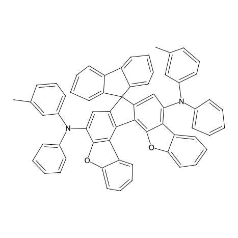 Cc1cccc(N(c2ccccc2)c2cc3c(c4c2oc2ccccc24)-c2c(cc(N(c4ccccc4)c4cccc(C)c4)c4c2oc2ccccc24)C32c3ccccc3-c3ccccc32)c1